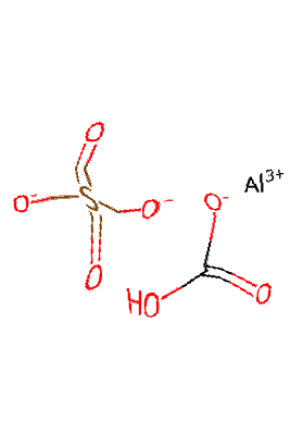 O=C([O-])O.O=S(=O)([O-])[O-].[Al+3]